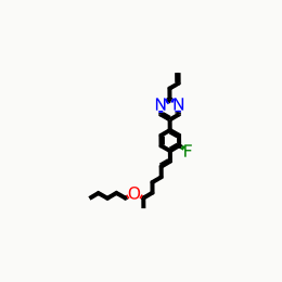 C=CCc1ncc(-c2ccc(C=CCCCC(C)OCCCCC)c(F)c2)cn1